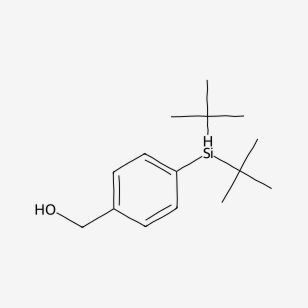 CC(C)(C)[SiH](c1ccc(CO)cc1)C(C)(C)C